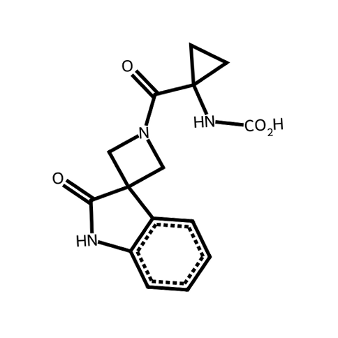 O=C(O)NC1(C(=O)N2CC3(C2)C(=O)Nc2ccccc23)CC1